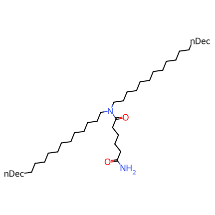 CCCCCCCCCCCCCCCCCCCCCCN(CCCCCCCCCCCCCCCCCCCCCC)C(=O)CCCCC(N)=O